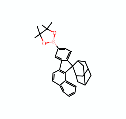 CC1(C)OB(c2ccc3c(c2)-c2ccc4ccccc4c2C32C3CC4CC(C3)CC2C4)OC1(C)C